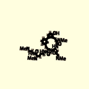 CNCCC[C@@H]1NC(=O)[C@@H](NC)Cc2cc(ccc2O)-c2cccc(c2)C[C@@H](C(=O)NCCC[C@H](NC)C(=O)NCCNC)N(C)C1=O